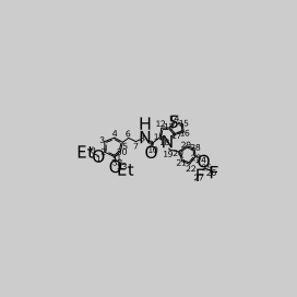 CCOc1ccc(CCNC(=O)c2cc3sccc3n2Cc2ccc(OC(F)F)cc2)cc1OCC